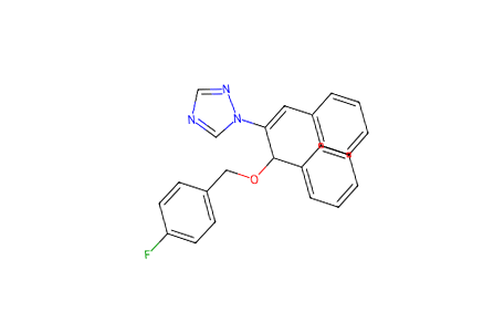 Fc1ccc(COC(/C(=C\c2ccccc2)n2cncn2)c2ccccc2)cc1